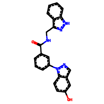 O=C(NCc1n[nH]c2ccccc12)c1cccc(-n2ncc3cc(O)ccc32)c1